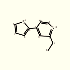 CCc1cc(-c2cccs2)ccn1